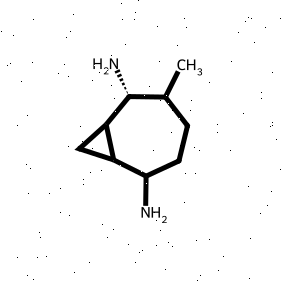 CC1CCC(N)C2CC2[C@@H]1N